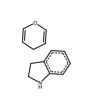 C1=COC=CC1.c1ccc2c(c1)CCN2